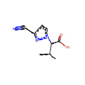 CC(C)C(C(=O)O)n1ccc(C#N)n1